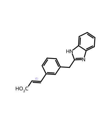 O=C(O)/C=C/c1cccc(Cc2nc3ccccc3[nH]2)c1